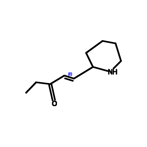 CCC(=O)/C=C/C1CCCCN1